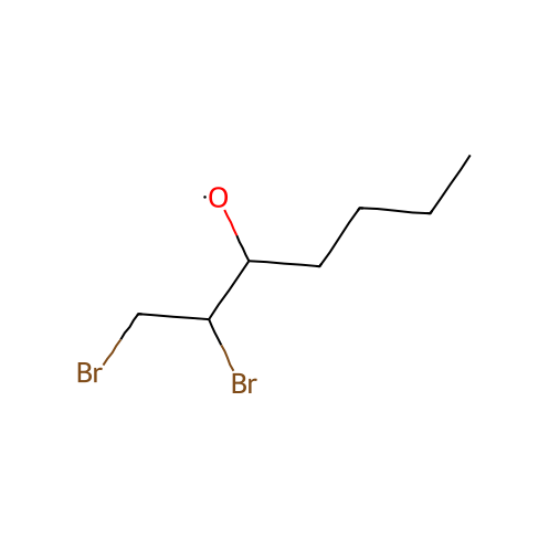 CCCCC([O])C(Br)CBr